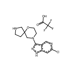 Clc1cc2[nH]nc(N3CCOC4(CCNC4)C3)c2cn1.O=C(O)C(F)(F)F